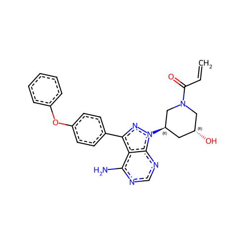 C=CC(=O)N1C[C@H](O)C[C@@H](n2nc(-c3ccc(Oc4ccccc4)cc3)c3c(N)ncnc32)C1